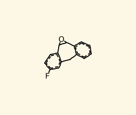 Fc1ccc2c(c1)Cc1ccccc1C1OC21